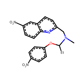 CCC(Oc1ccc([N+](=O)[O-])cc1)N(C)Cc1ccc2cc([N+](=O)[O-])ccc2n1